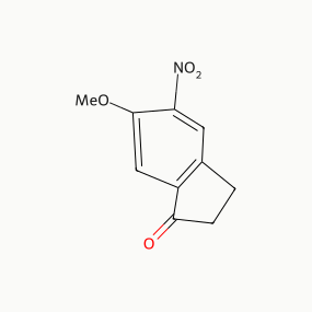 COc1cc2c(cc1[N+](=O)[O-])CCC2=O